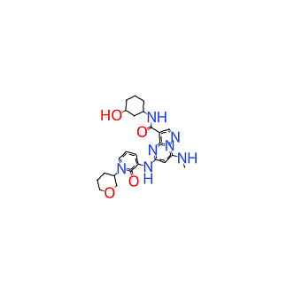 CNc1cc(Nc2cccn([C@@H]3CCCOC3)c2=O)nc2c(C(=O)NC3CCCC(O)C3)cnn12